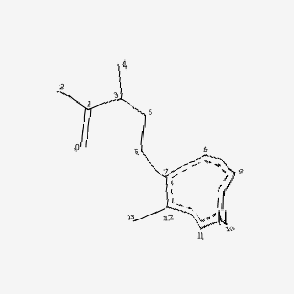 C=C(C)C(C)CCc1ccncc1C